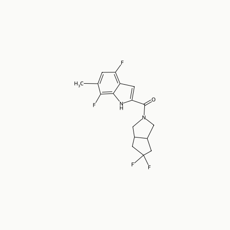 Cc1cc(F)c2cc(C(=O)N3CC4CC(F)(F)CC4C3)[nH]c2c1F